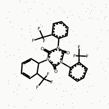 O=c1n(-c2ccccc2C(F)(F)F)c(=O)n(C2C=CC=CC2C(F)(F)F)c(=O)n1-c1ccccc1C(F)(F)F